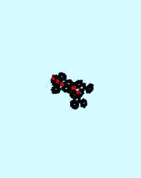 C(=C(c1ccccc1)c1ccccc1)C1=CC=C2C(=Cc3cc(C=C(c4ccccc4)c4ccccc4)ccc32)C12C(C=C(c1ccccc1)c1ccccc1)=CC=C1C2=Cc2cc(C=C(c3ccccc3)c3ccccc3)ccc21